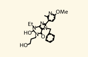 CCN1c2nc(-c3ccc(OC)nc3C)n(Cc3ccccc3)c2C(=O)N(CCCO)C1O